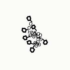 O=C(N[C@@H](Cc1ccc(OCc2ccccc2)c(OCc2ccccc2)c1)C(=O)N[C@@H](COP(=O)(OCc1ccccc1)OCc1ccccc1)C(=O)OCc1ccccc1)OCc1ccccc1